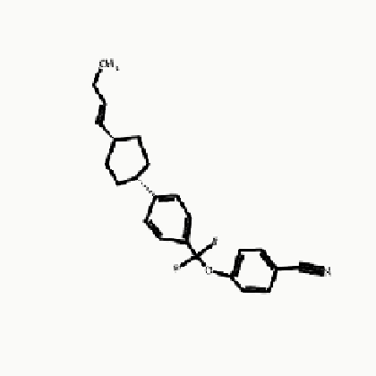 CCC=C[C@H]1CC[C@H](c2ccc(C(F)(F)Oc3ccc(C#N)cc3)cc2)CC1